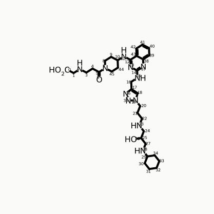 O=C(O)CNCCC(=O)N1CCC(Nc2nc(NCc3cn(CCCNCC(O)CNC4CCCCC4)nn3)nc3ccccc23)CC1